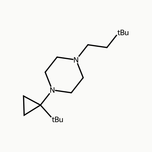 CC(C)(C)CCN1CCN(C2(C(C)(C)C)CC2)CC1